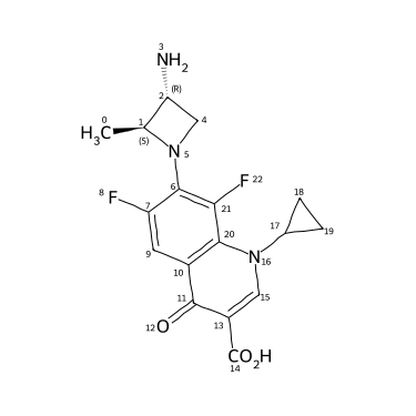 C[C@H]1[C@H](N)CN1c1c(F)cc2c(=O)c(C(=O)O)cn(C3CC3)c2c1F